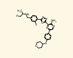 CC(CF)NCc1ccc(-c2nnc(-c3nc(-c4ccc(SC5CCOCC5)cc4)cnc3N)o2)c(F)c1